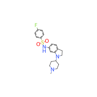 CN1CCC(N2CCc3ccc(NS(=O)(=O)c4ccc(F)cc4)cc32)CC1